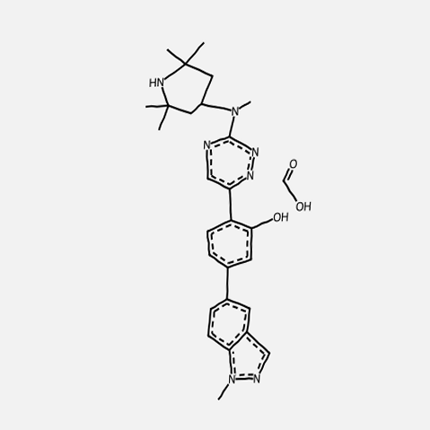 CN(c1ncc(-c2ccc(-c3ccc4c(cnn4C)c3)cc2O)nn1)C1CC(C)(C)NC(C)(C)C1.O=CO